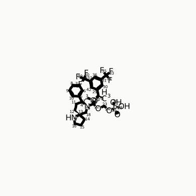 C[C@@H](OC[C@@]1(c2ccccc2)CC[C@]2(CCCN2)CN1C(=O)OCOP(=O)(O)O)c1cc(C(F)(F)F)cc(C(F)(F)F)c1